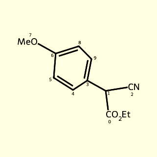 CCOC(=O)C(C#N)c1ccc(OC)cc1